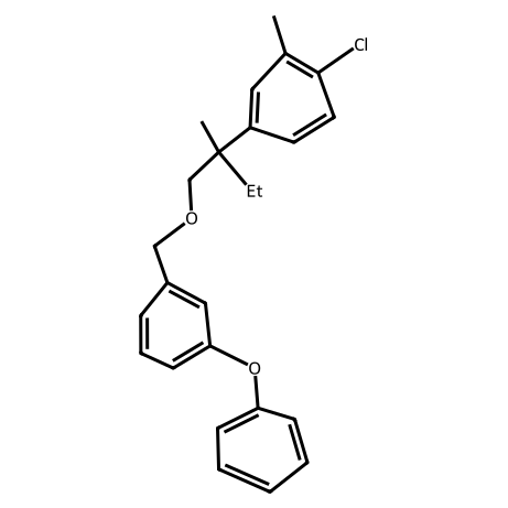 CCC(C)(COCc1cccc(Oc2ccccc2)c1)c1ccc(Cl)c(C)c1